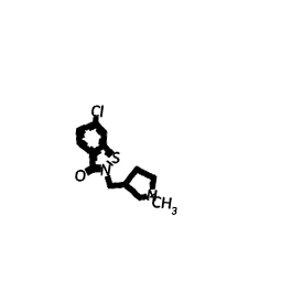 CN1CCC(Cn2sc3cc(Cl)ccc3c2=O)C1